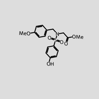 COC(=O)CN(Cc1ccc(OC)cc1)S(=O)(=O)c1ccc(O)cc1